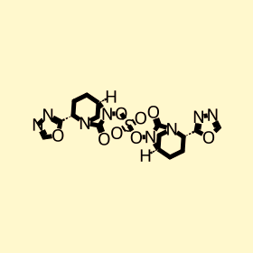 O=C1N2C[C@@H](CC[C@H]2c2nnco2)N1OS(=O)(=O)ON1C(=O)N2C[C@H]1CC[C@H]2c1nnco1